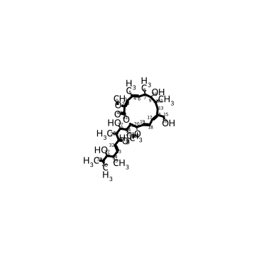 CO/C1=C/C(C)=C/[C@@H](C)[C@H](O)[C@@H](C)C/C(CO)=C/C=C/[C@H](OC)[C@@H]([C@@H](C)[C@@H](O)[C@H](C)C(=O)/C=C/[C@H](C)[C@H](O)C(C)C)OC1=O